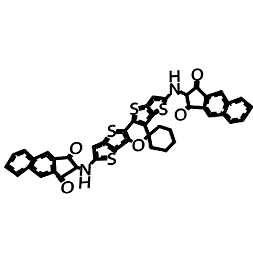 O=C1c2cc3ccccc3cc2C(=O)C1Nc1cc2sc3c(c2s1)OC1(CCCCC1)c1c-3sc2cc(NC3C(=O)c4cc5ccccc5cc4C3=O)sc12